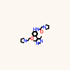 Cc1ncnc(C)c1-c1cc(NC(=O)CN2CCCC2)ccc1OCCN1CCCC1